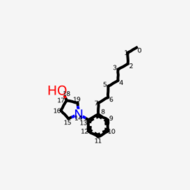 CCCCCCCCc1ccccc1N1CCC(O)C1